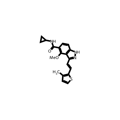 COc1c(C(=O)NC2CC2)ccc2[nH]nc(C=Cc3sccc3C)c12